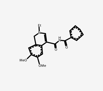 CCN1C=C(C(=O)NC(=O)c2ccccc2)c2cc(OC)c(OC)cc2C1